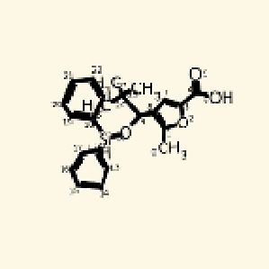 Cc1oc(C(=O)O)cc1C(O[SiH](c1ccccc1)c1ccccc1)C(C)(C)C